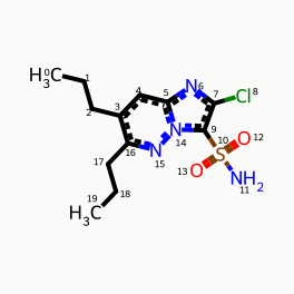 CCCc1cc2nc(Cl)c(S(N)(=O)=O)n2nc1CCC